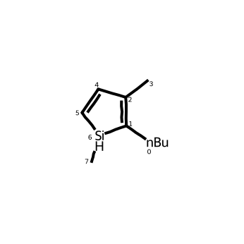 CCCCC1=C(C)C=C[SiH]1C